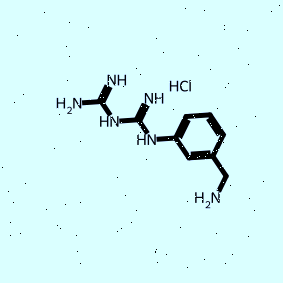 Cl.N=C(N)NC(=N)Nc1cccc(CN)c1